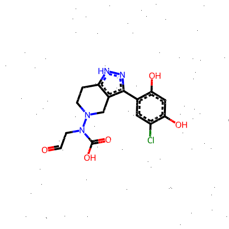 O=CCN(C(=O)O)N1CCc2[nH]nc(-c3cc(Cl)c(O)cc3O)c2C1